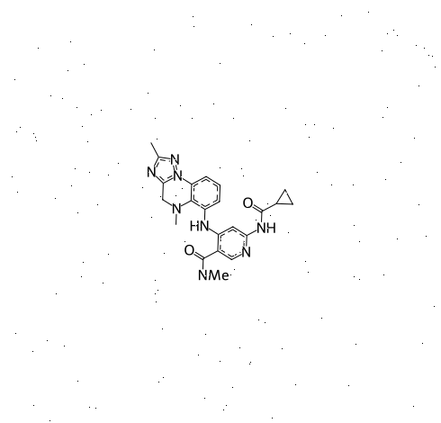 CNC(=O)c1cnc(NC(=O)C2CC2)cc1Nc1cccc2c1N(C)Cc1nc(C)nn1-2